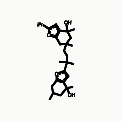 CC1Cc2oc(C(C)(C)CCC3(C)Cc4oc(C(C)C)cc4C(C)(O)C3)cc2C(C)(O)C1